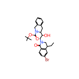 CCC1CN(CC(O)C2Cc3ccccc3CN2C(=O)OC(C)(C)C)C(=O)c2ccc(Br)cc21